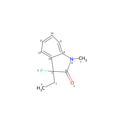 CCC1(F)C(=O)N(C)c2ccccc21